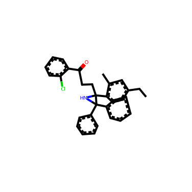 CCc1ccc(C2(CCC(=O)c3ccccc3Cl)NC2(c2ccccc2)c2ccccc2)c(C)c1